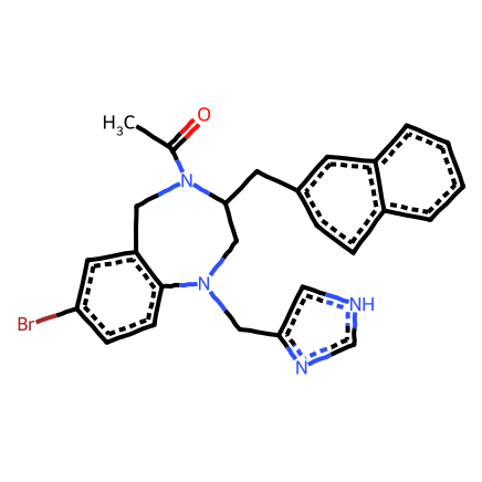 CC(=O)N1Cc2cc(Br)ccc2N(Cc2c[nH]cn2)CC1Cc1ccc2ccccc2c1